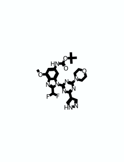 COc1cc(NC(=O)OC(C)(C)C)cc2c1nc(C(F)F)n2-c1nc(-c2cn[nH]c2)nc(N2CCOCC2)n1